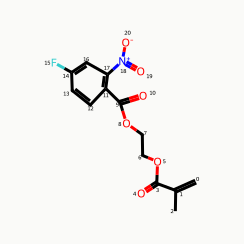 C=C(C)C(=O)OCCOC(=O)c1ccc(F)cc1[N+](=O)[O-]